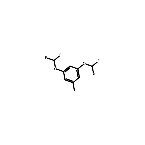 [CH2]c1cc(OC(F)F)cc(OC(F)F)c1